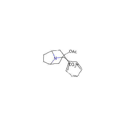 CC(=O)OC1(C(=O)O)CC2CCC(C1)N2Cc1ccccc1